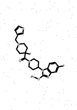 CC(C)Oc1nc2cc(F)ccc2n1C1CCN(C(=O)C2(F)CCN(Cc3ccsc3)CC2)CC1